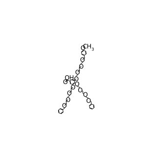 COc1ccc(COCCOCCOCCOc2cc(C(=O)O)cc(OCCOCCOCCOCc3ccccc3)c2OCCOCCOCCOCc2ccccc2)cc1